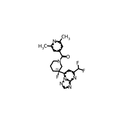 Cc1cc(C(=O)N2CCC[C@@](F)(c3cc(C(F)F)nc4ncnn34)C2)cc(C)n1